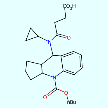 CCCCOC(=O)N1c2ccccc2C(N(C(=O)CCC(=O)O)C2CC2)C2CCCC21